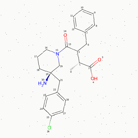 C[C@@H](C(=O)O)C(Cc1ccccc1)C(=O)N1CCC[C@@](N)(Cc2ccc(Cl)cc2)C1